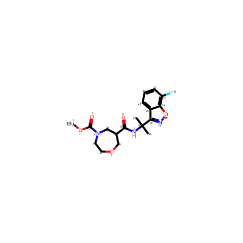 CC(C)(C)OC(=O)N1CCOCC(C(=O)NC(C)(C)c2noc3c(F)cccc23)C1